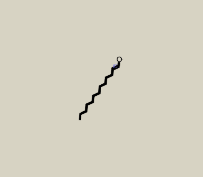 CCCCCCCCCCC/C=C/[O]